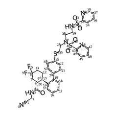 N#CCNC(=O)[C@@H]1CC(F)(F)CC[C@H]1c1ccccc1-c1ccc(SCCN(CCNS(=O)(=O)c2ccccn2)S(=O)(=O)c2ccccn2)cc1